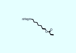 C=CC(=O)OC=CCCCCCCCCCCCC